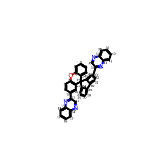 c1ccc2c(c1)Oc1ccc(-c3cnc4ccccc4n3)cc1C21c2ccccc2-c2ccc(-c3cnc4ccccc4n3)cc21